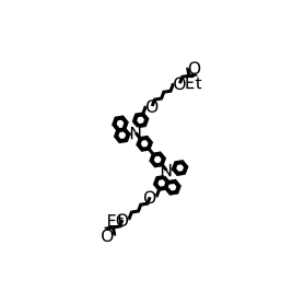 CCC1(COCCCCCOCc2ccc(N(c3ccc(-c4ccc(N(c5ccccc5)c5ccc(COCCCCCOCC6(CC)COC6)c6ccccc56)cc4)cc3)c3cccc4ccccc34)cc2)COC1